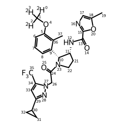 [2H]C([2H])([2H])Oc1cccc([C@@H]2[C@H](NC(=O)c3ncc(C)o3)CCN2C(=O)Cn2nc(C3CC3)cc2C(F)(F)F)c1C